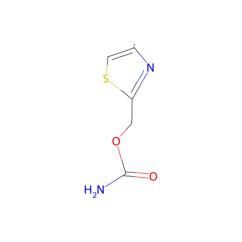 NC(=O)OCc1n[c]cs1